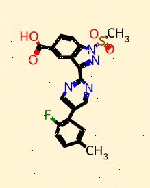 Cc1ccc(F)c(-c2cnc(-c3nn(S(C)(=O)=O)c4ccc(C(=O)O)cc34)nc2)c1